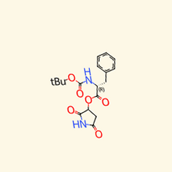 CC(C)(C)OC(=O)N[C@H](Cc1ccccc1)C(=O)OC1CC(=O)NC1=O